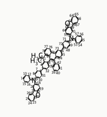 CC1(C)c2cc(-c3ccc(N(c4ccccc4)c4ccc5oc6ccccc6c5c4)cc3)ccc2-c2c(-c3ccccc3)c3ccc(-c4ccc(N(c5ccccc5)c5ccc6oc7ccccc7c6c5)cc4)cc3c3cccc1c23